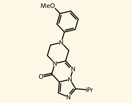 COc1cccc(N2CCn3c(nn4c(C(C)C)ncc4c3=O)C2)c1